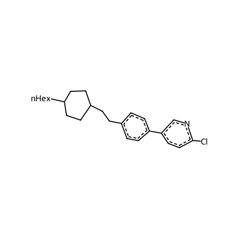 CCCCCCC1CCC(CCc2ccc(-c3ccc(Cl)nc3)cc2)CC1